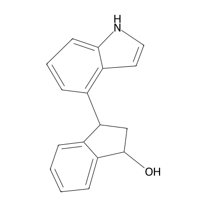 OC1CC(c2cccc3[nH]ccc23)c2ccccc21